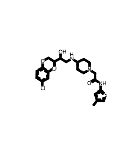 Cc1csc(NC(=O)CN2CCC(NCC(O)C3COc4ccc(Cl)cc4O3)CC2)c1